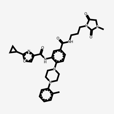 Cc1ccccc1N1CCN(c2ccc(C(=O)NCCCN3C(=O)CN(C)C3=O)cc2NC(=O)c2coc(C3CC3)n2)CC1